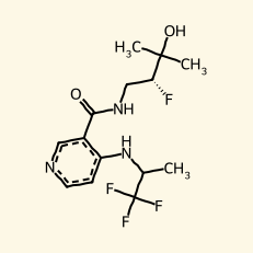 CC(Nc1ccncc1C(=O)NC[C@@H](F)C(C)(C)O)C(F)(F)F